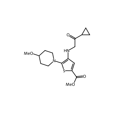 COC(=O)c1cc(NCC(=O)C2CC2)c(N2CCC(OC)CC2)s1